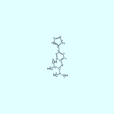 OC(O)C(Cc1ccc(-c2nccs2)cc1)C(O)O